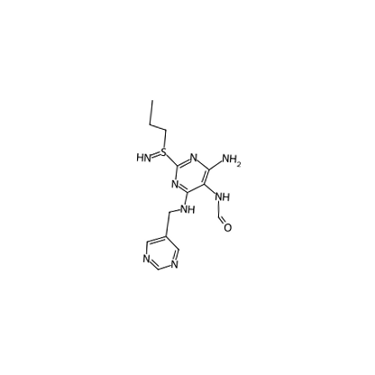 CCCS(=N)c1nc(N)c(NC=O)c(NCc2cncnc2)n1